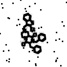 CCc1sc2ccccc2c1CN1CCN2C(=O)C(Cc3ccccc3)N(Cc3ccccc3)C(=O)C2C1